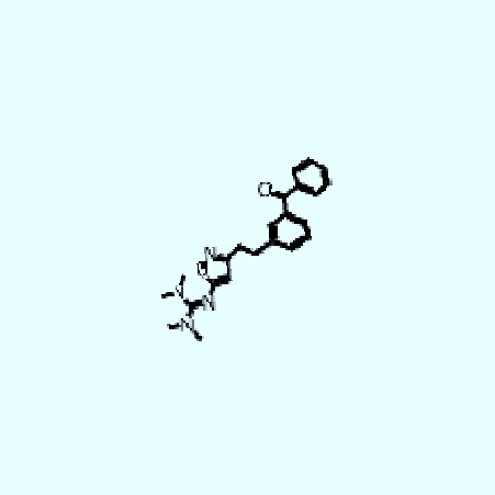 CN(C)C(=Nc1cc(CCc2cccc(C(=O)c3ccccc3)c2)no1)N(C)C